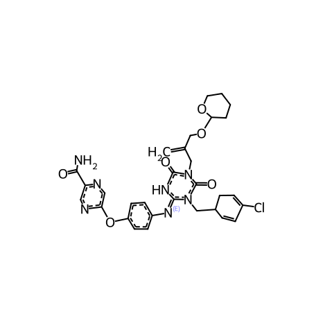 C=C(COC1CCCCO1)Cn1c(=O)[nH]/c(=N\c2ccc(Oc3cnc(C(N)=O)cn3)cc2)n(CC2C=CC(Cl)=CC2)c1=O